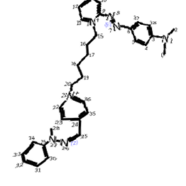 CN(C)c1ccc(/N=N/c2cccc[n+]2CCCCCC[n+]2ccc(/C=N\N(C)c3ccccc3)cc2)cc1